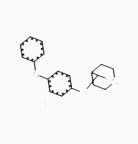 Cl.c1ccc(Nc2ccc(OC3CN4CCC3CC4)cc2)cc1